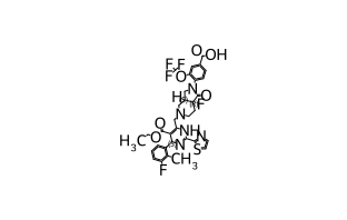 CCOC(=O)C1=C(CN2CC[C@]3(F)C(=O)N(c4ccc(C(=O)O)cc4OC(F)(F)F)C[C@@H]3C2)NC(c2nccs2)=N[C@H]1c1cccc(F)c1C